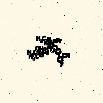 CCCc1c(Cc2ccc(-c3ccc(F)cc3C#N)cc2)c(=O)n([C@H]2CC[C@H](OC(C)C(C)(C)O)CC2)c2nc(C)nn12